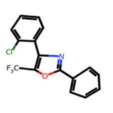 FC(F)(F)c1oc(-c2ccccc2)nc1-c1ccccc1Cl